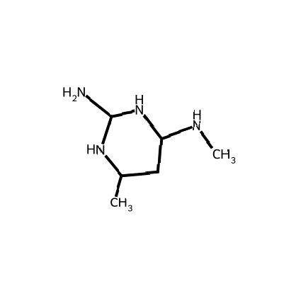 CNC1CC(C)NC(N)N1